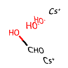 O=CO.[Cs+].[Cs+].[OH-].[OH-]